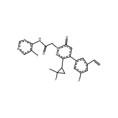 C=Cc1cc(F)cc(-c2cc(=O)n(CC(=O)Nc3ncncc3F)nc2C2CC2(F)I)c1